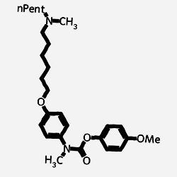 CCCCCN(C)CCCCCCOc1ccc(N(C)C(=O)Oc2ccc(OC)cc2)cc1